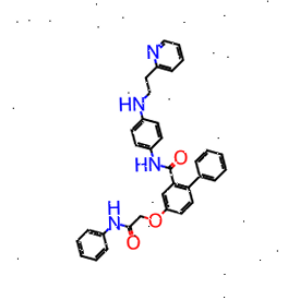 O=C(COc1ccc(-c2ccccc2)c(C(=O)Nc2ccc(NCCc3ccccn3)cc2)c1)Nc1ccccc1